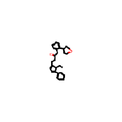 CCC1C(CCC(=O)Cc2ccccc2C2CCOCC2)=CC=C1c1ccccc1